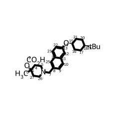 CC1(OC(=O)O)CCN(Cc2ccc3cc(O[C@H]4CC[C@H](C(C)(C)C)CC4)ccc3c2)CC1